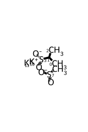 CC(C)S(=O)[O-].CS(=O)[O-].[K+].[K+]